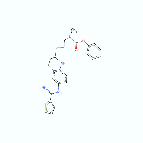 CN(CCCC1CCc2cc(NC(=N)c3cccs3)ccc2N1)C(=O)Oc1ccccc1